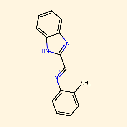 Cc1ccccc1/N=C/c1nc2ccccc2[nH]1